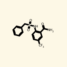 NC(=O)c1cc(C(F)(F)F)ccc1NS(=O)(=O)Cc1ccccc1